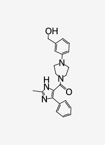 Cc1nc(-c2ccccc2)c(C(=O)N2CCN(c3cccc(CO)c3)CC2)[nH]1